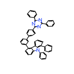 c1ccc(-c2nc(-c3ccccc3)nc(-c3ccc(-c4cccc(-c5cccc6c5c5cccc(-c7ccccc7)c5n6-c5ccccc5)c4)cc3)n2)cc1